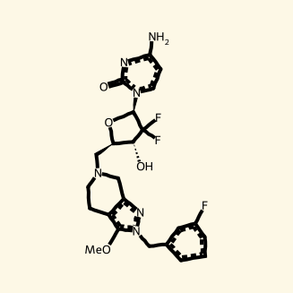 COc1c2c(nn1Cc1cccc(F)c1)CN(C[C@H]1O[C@@H](n3ccc(N)nc3=O)C(F)(F)[C@@H]1O)CC2